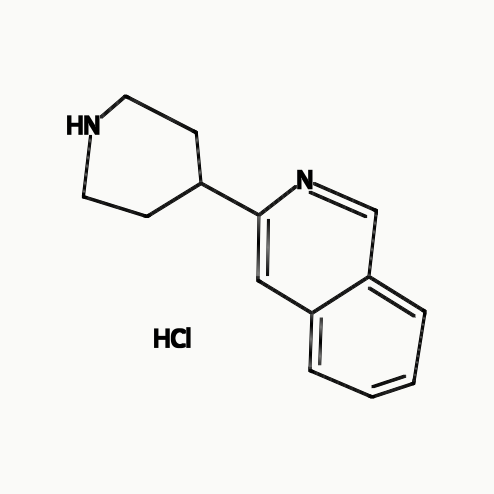 Cl.c1ccc2cc(C3CCNCC3)ncc2c1